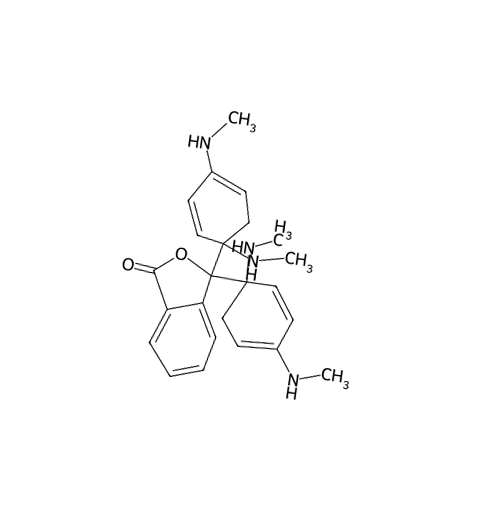 CNC1=CCC(NC)(C2(C3(NC)C=CC(NC)=CC3)OC(=O)c3ccccc32)C=C1